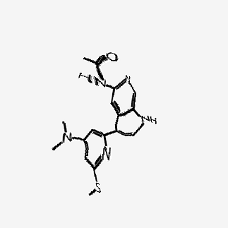 CSc1cc(N(C)C)cc(-c2c[nH]c3cnc(NC(C)=O)cc23)n1